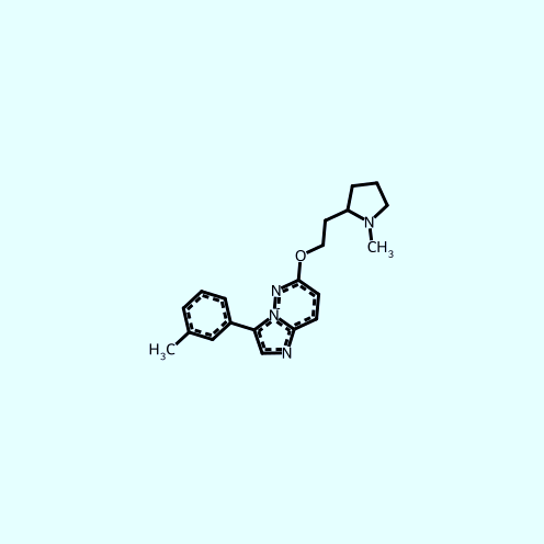 Cc1cccc(-c2cnc3ccc(OCCC4CCCN4C)nn23)c1